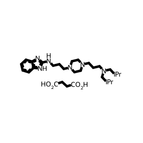 CC(C)CN(CCCN1CCN(CCCNc2nc3ccccc3[nH]2)CC1)CC(C)C.O=C(O)CCC(=O)O